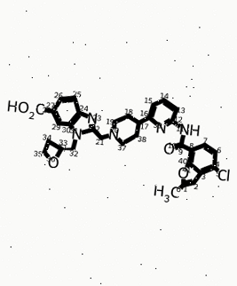 Cc1cc2c(Cl)ccc(C(=O)Nc3cccc(C4CCN(Cc5nc6ccc(C(=O)O)cc6n5C[C@@H]5CCO5)CC4)n3)c2o1